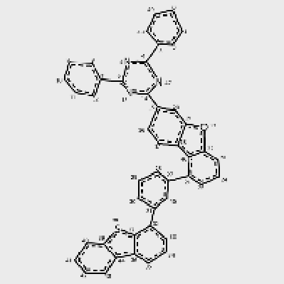 c1ccc(-c2nc(-c3ccccc3)nc(-c3ccc4c(c3)oc3cccc(-c5cccc(-c6cccc7c6sc6ccccc67)c5)c34)n2)cc1